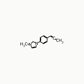 C=C=Cc1ccc(N2C=CN(C)C2)cc1